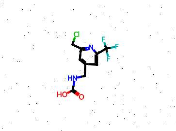 O=C(O)NCc1cc(CCl)nc(C(F)(F)F)c1